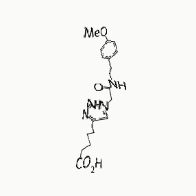 COc1ccc(CCNC(=O)Cn2cc(CCCCC(=O)O)nn2)cc1